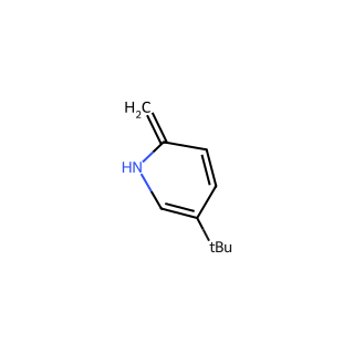 C=C1C=CC(C(C)(C)C)=CN1